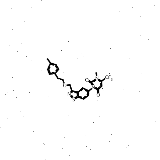 Cc1ccc(CCOCc2nsc3ccc(-n4c(=O)cc(C(F)(F)F)n(C)c4=O)cc23)cc1